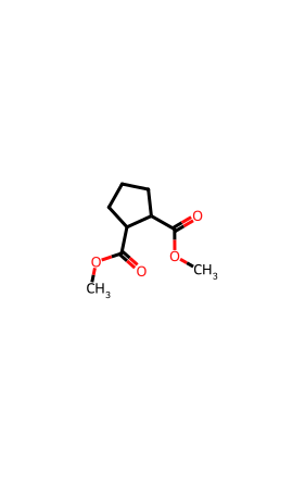 COC(=O)C1CCCC1C(=O)OC